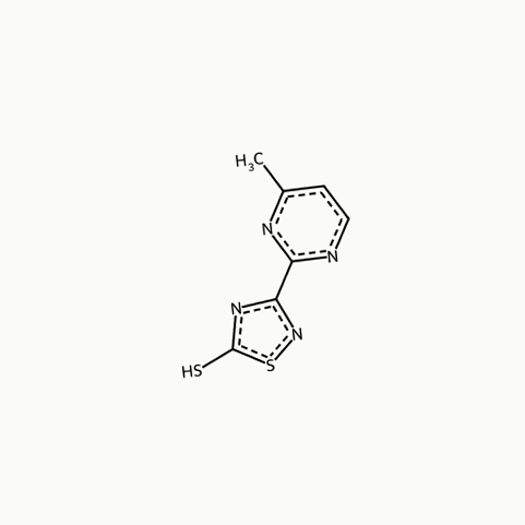 Cc1ccnc(-c2nsc(S)n2)n1